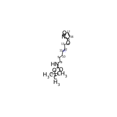 CC(C)(C)OC(=O)NCCC/C=C/COc1ccon1